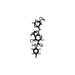 COc1cc(Cn2cc(C)c3c(Cl)c(C(=O)Nc4ccc(C)cc4)cnc32)ncn1